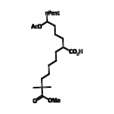 CCCCCC(CCCC(CCCCCC(C)(C)C(=O)OC)C(=O)O)OC(C)=O